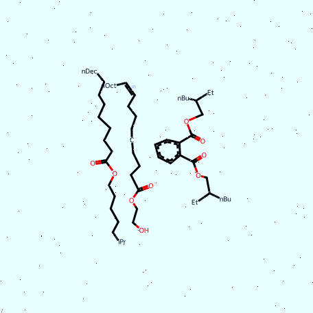 CCCCC(CC)COC(=O)c1ccccc1C(=O)OCC(CC)CCCC.CCCCCCCC/C=C\CCCCCCCC(=O)OCCO.CCCCCCCCCCCCCCCCCC(=O)OCCCCCC(C)C